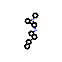 c1ccc(-n2c3ccccc3c3cc(Nc4cccc5c(-c6ccc7ccccc7c6)cccc45)ccc32)cc1